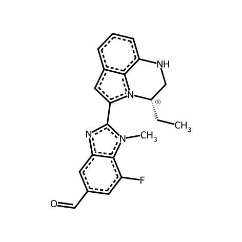 CC[C@H]1CNc2cccc3cc(-c4nc5cc(C=O)cc(F)c5n4C)n1c23